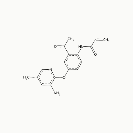 C=CC(=O)Nc1ccc(Oc2ncc(C)cc2N)cc1C(C)=O